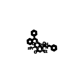 CCC[C@H]1C(=O)N(CC(c2ccccc2)c2ccccc2)C[C@H]2N1C(=O)CN(CC)N2C(=O)NCc1ccccc1